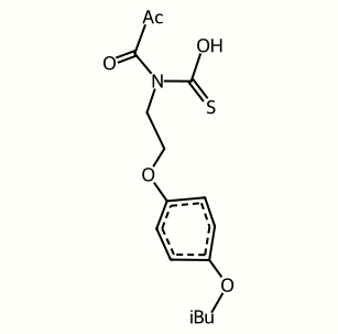 CCC(C)Oc1ccc(OCCN(C(=O)C(C)=O)C(O)=S)cc1